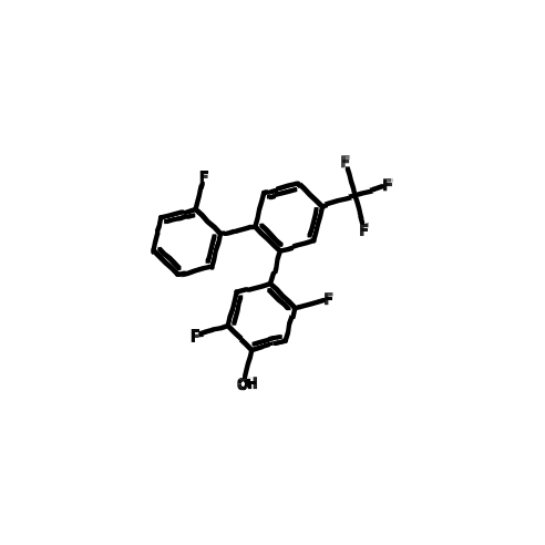 Oc1cc(F)c(-c2cc(C(F)(F)F)ccc2-c2ccccc2F)cc1F